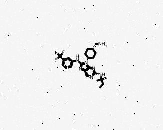 CCC(C)(C)Nc1ncc2nc(Nc3cccc(C(F)(F)F)c3)n([C@H]3CC[C@@H](CN)CC3)c2n1